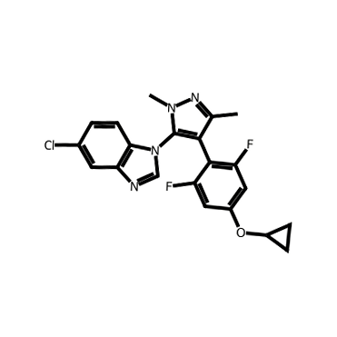 Cc1nn(C)c(-n2cnc3cc(Cl)ccc32)c1-c1c(F)cc(OC2CC2)cc1F